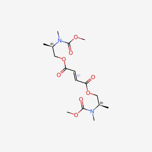 COC(=O)N(C)[C@H](C)COC(=O)/C=C/C(=O)OC[C@@H](C)N(C)C(=O)OC